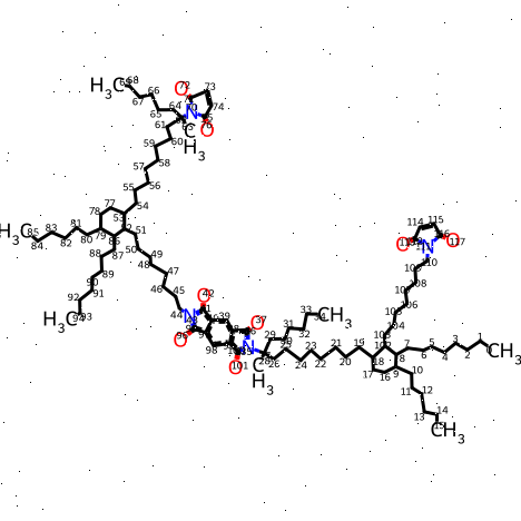 CCCCCCCCC1C(CCCCCC)CCC(CCCCCCCCC(C)(CCCCCC)n2c(=O)c3cc4c(=O)n(CCCCCCCCC5C(CCCCCCCCC(C)(CCCCCC)N6C(=O)C=CC6=O)CCC(CCCCCC)C5CCCCCCCC)c(=O)c4cc3c2=O)C1CCCCCCCCN1C(=O)C=CC1=O